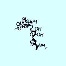 C=C(N)c1cc([C@@H]2O[C@H](COP(=O)(O)OP(=O)(O)OP(=O)(O)O)[C@@H](O)[C@H]2O)on1